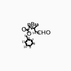 CCCCN(C(=O)OCc1ccccc1)C(C)CC=O